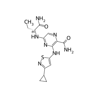 CC[C@@H](Nc1cnc(C(N)=O)c(Nc2cc(C3CC3)ns2)n1)C(N)=O